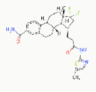 Cc1cnc(NC(=O)CC[C@@H]2CC(F)(F)[C@@]3(C)CC[C@@H]4c5ccc(C(N)=O)cc5CC[C@H]4[C@H]23)s1